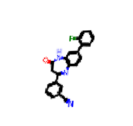 N#Cc1cccc(C2=Nc3ccc(-c4ccccc4F)cc3NC(=O)C2)c1